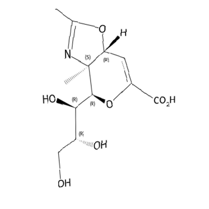 CC1=N[C@@]2(C)[C@@H](C=C(C(=O)O)O[C@H]2[C@H](O)[C@H](O)CO)O1